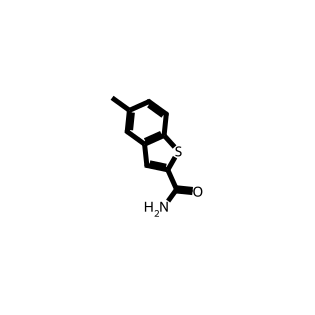 Cc1ccc2sc(C(N)=O)cc2c1